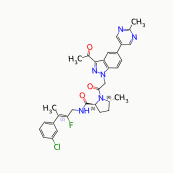 CC(=O)c1nn(CC(=O)N2[C@H](C)CC[C@H]2C(=O)NC/C(F)=C(\C)c2cccc(Cl)c2)c2ccc(-c3cnc(C)nc3)cc12